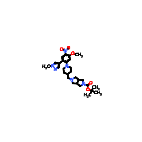 COc1cc(N2CCC(CN3CC4CN(C(=O)OC(C)(C)C)CC4C3)CC2)c(-c2cnn(C)c2)cc1[N+](=O)[O-]